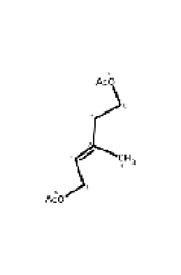 CC(=O)OC/C=C(\C)CCOC(C)=O